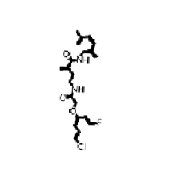 C=C(C)/C=C\C(=C)CNC(=O)C(=C)CCNC(=O)COC(/C=C/F)=C/C=C/Cl